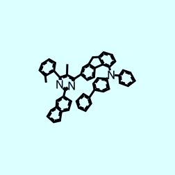 Cc1ccccc1-c1nc(-c2ccc3ccccc3c2)nc(-c2ccc3c(c2)Cc2cccc(N(c4ccccc4)c4ccc(-c5ccccc5)cc4)c2-3)c1C